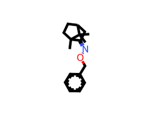 CC12CCC(CC1=NOCc1ccccc1)C2(C)C